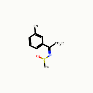 CCOC(=O)/C(=N/[S+]([O-])C(C)(C)C)c1cccc(C#N)c1